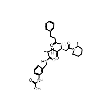 C[C@H](NC(=O)[C@H](CC(=O)N1CCCC[C@@H]1C)NC(=O)CCc1ccccc1)C(=O)NCc1cccc(NC(=O)O)c1